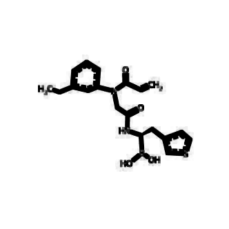 C=CC(=O)N(CC(=O)N[C@@H](Cc1ccsc1)B(O)O)c1cccc(CC)c1